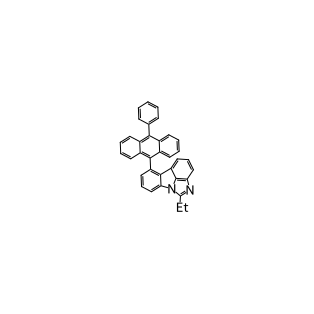 CCc1nc2cccc3c4c(-c5c6ccccc6c(-c6ccccc6)c6ccccc56)cccc4n1c23